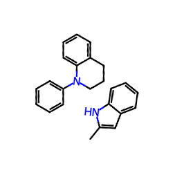 Cc1cc2ccccc2[nH]1.c1ccc(N2CCCc3ccccc32)cc1